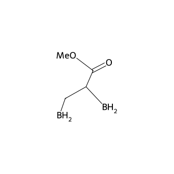 BCC(B)C(=O)OC